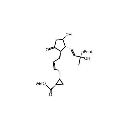 CCCCC[C@@](C)(O)/C=C/[C@H]1[C@H](O)CC(=O)[C@@H]1C/C=C\C[C@@H]1C[C@H]1C(=O)OC